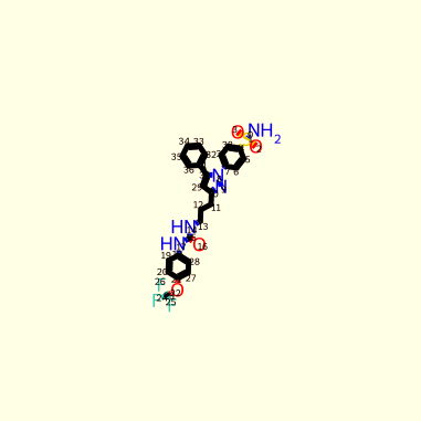 NS(=O)(=O)c1ccc(-n2nc(CCCNC(=O)Nc3ccc(OC(F)(F)F)cc3)cc2-c2ccccc2)cc1